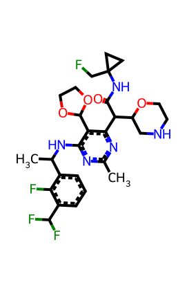 Cc1nc(NC(C)c2cccc(C(F)F)c2F)c(C2OCCO2)c(C(C(=O)NC2(CF)CC2)C2CNCCO2)n1